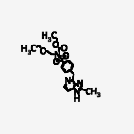 CCOCCN(C(=O)OCC)S(=O)(=O)c1ccc(Cc2nccc3[nH]c(C)nc23)cc1